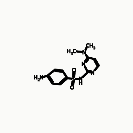 CN(C)c1ccnc(NS(=O)(=O)c2ccc(N)cc2)n1